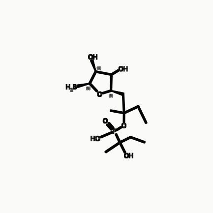 B[C@@H]1O[C@H](CC(C)(CC)OP(=O)(O)C(C)(O)CC)C(O)[C@@H]1O